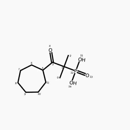 CC(C)(C(=O)C1CCCCCC1)P(=O)(O)O